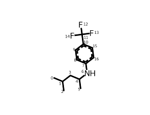 CC(C)CC(C)Nc1ccc(C(F)(F)F)cc1